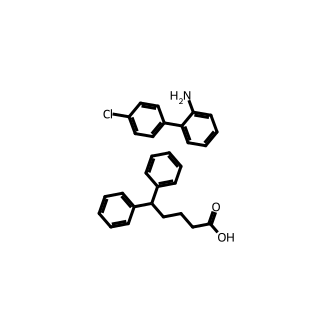 Nc1ccccc1-c1ccc(Cl)cc1.O=C(O)CCCC(c1ccccc1)c1ccccc1